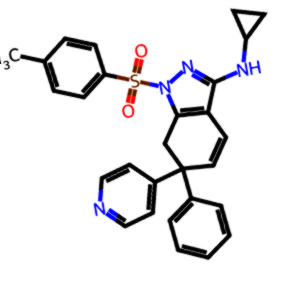 Cc1ccc(S(=O)(=O)n2nc(NC3CC3)c3c2CC(c2ccccc2)(c2ccncc2)C=C3)cc1